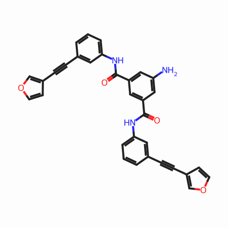 Nc1cc(C(=O)Nc2cccc(C#Cc3ccoc3)c2)cc(C(=O)Nc2cccc(C#Cc3ccoc3)c2)c1